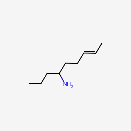 CC=CCCC(N)CCC